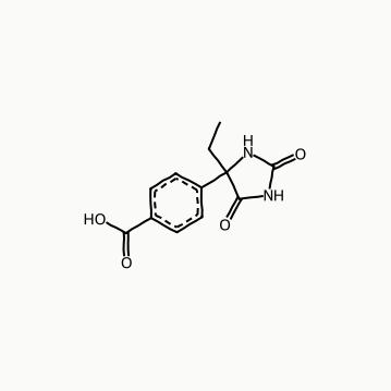 CCC1(c2ccc(C(=O)O)cc2)NC(=O)NC1=O